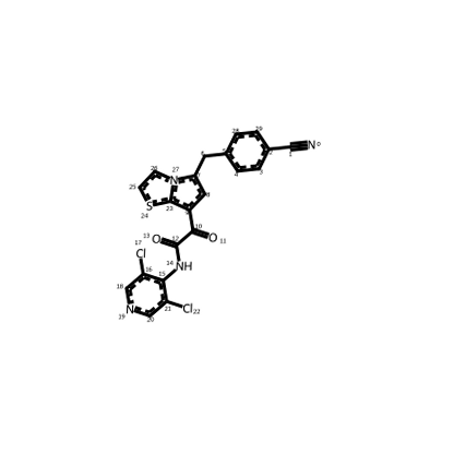 N#Cc1ccc(Cc2cc(C(=O)C(=O)Nc3c(Cl)cncc3Cl)c3sccn23)cc1